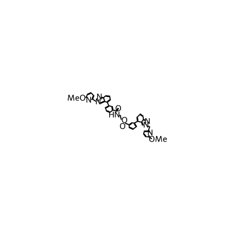 COc1cccc(Cn2cc3c(-c4cccc(C(=O)NCCOC(=O)c5cccc(-c6cccc7nn(Cc8cccc(OC)n8)cc67)c5)c4)cccc3n2)n1